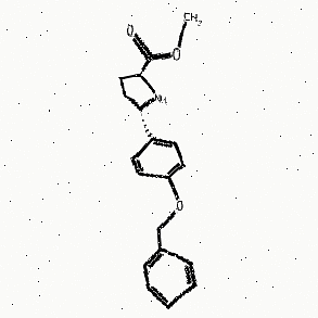 COC(=O)[C@@H]1CC[C@@H](c2ccc(OCc3ccccc3)cc2)N1